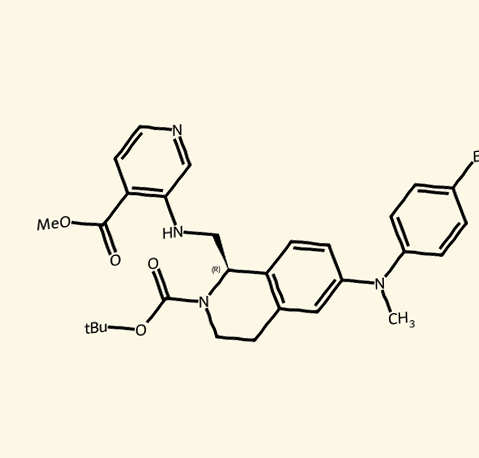 CCc1ccc(N(C)c2ccc3c(c2)CCN(C(=O)OC(C)(C)C)[C@H]3CNc2cnccc2C(=O)OC)cc1